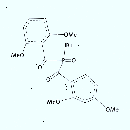 CCC(C)P(=O)(C(=O)c1ccc(OC)cc1OC)C(=O)c1c(OC)cccc1OC